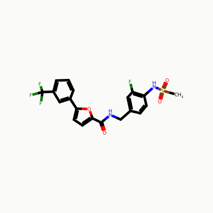 CS(=O)(=O)Nc1ccc(CNC(=O)c2ccc(-c3cccc(C(F)(F)F)c3)o2)cc1F